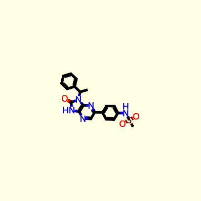 CC(c1ccccc1)n1c(=O)[nH]c2ncc(-c3ccc(NS(C)(=O)=O)cc3)nc21